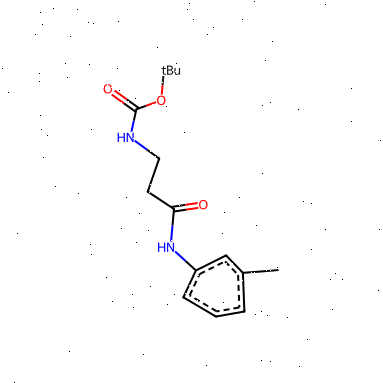 Cc1cccc(NC(=O)CCNC(=O)OC(C)(C)C)c1